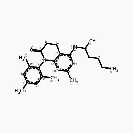 CCCCC(C)Nc1nc(C)nc2c1CCC(=O)N2c1c(C)cc(C)cc1C